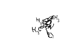 COc1ccc(C(C#N)(CCCCCCl)Sc2ccc(C)cc2)cc1OC